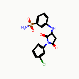 NS(=O)(=O)c1cccc(NC2CC(=O)N(c3cccc(Cl)c3)C2=O)c1